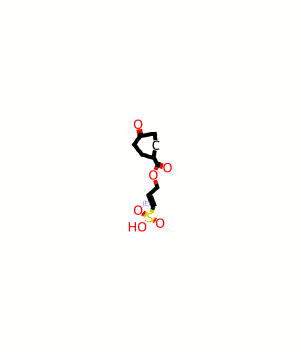 O=C1CCC(C(=O)OC/C=C/S(=O)(=O)O)CC1